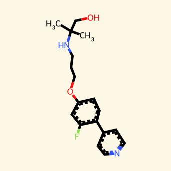 CC(C)(CO)NCCCOc1ccc(-c2ccncc2)c(F)c1